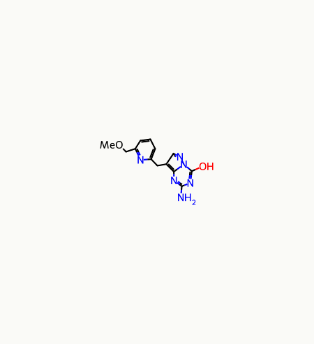 COCc1cccc(Cc2cnn3c(O)nc(N)nc23)n1